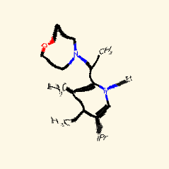 CCN1C=C(C(C)C)C(C)C(C)=C1C(C)N1CCOCC1